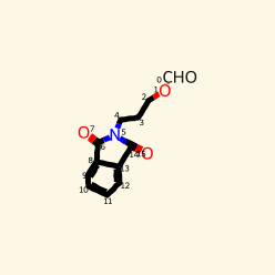 O=COCCCN1C(=O)c2ccccc2C1=O